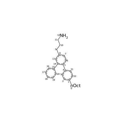 CCCCCCCCc1ccc(-c2ccc(CCCN)cc2-c2ccccc2)cc1